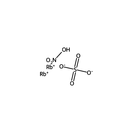 O=S(=O)([O-])[O-].O=[N+]([O-])O.[Rb+].[Rb+]